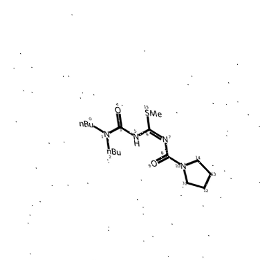 CCCCN(CCCC)C(=O)NC(=NC(=O)N1CCCC1)SC